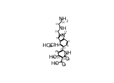 Cc1c(-c2ccc3c(c2)cc(CNCCN)n3C)[nH]c(=O)c(C(=O)O)c1O.Cl.Cl